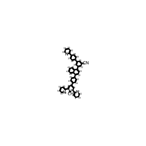 C=N/C(=C\C(=C/CC1=CCCC=N1)c1ccc(-c2ccc(-c3cc(C#N)cc(-c4ccc(-c5ccccn5)cc4)c3)c3ccccc23)cc1)c1ccccn1